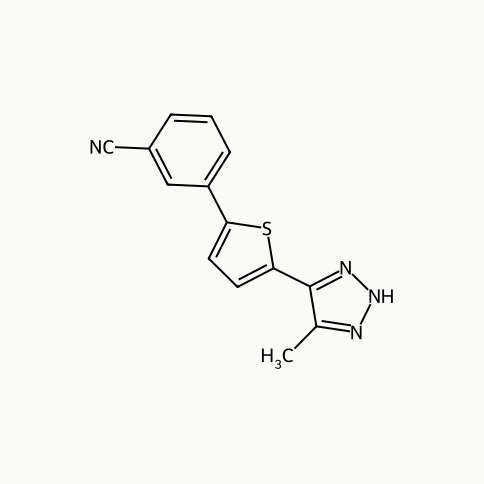 Cc1n[nH]nc1-c1ccc(-c2cccc(C#N)c2)s1